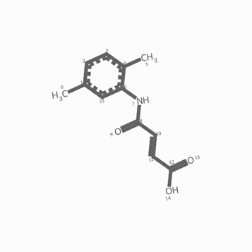 Cc1ccc(C)c(NC(=O)C=CC(=O)O)c1